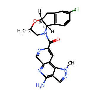 C[C@H]1CN(C(=O)c2cc3c(cn2)nc(N)c2cnn(C)c23)[C@H]2c3ccc(Cl)cc3C[C@H]2O1